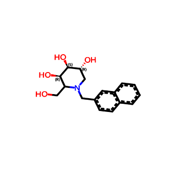 OCC1[C@@H](O)[C@@H](O)[C@H](O)CN1Cc1ccc2ccccc2c1